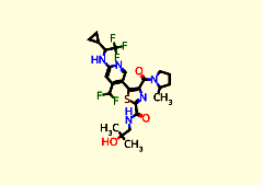 CC1CCCN1C(=O)c1nc(C(=O)NCC(C)(C)O)sc1-c1cnc(NC(C2CC2)C(F)(F)F)cc1C(F)F